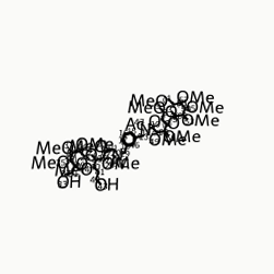 COCC1O[C@@H](O[C@H]2C(COC)OC(N(Cc3cccc(CN(C[C@@H](OC)[C@H](OC)C(OC4OC(CCO)[C@@H](OC)[C@@H](OC)C4OC)C(CCO)OC)C(C)=O)c3)C(C)=O)C(OC)C2OC)C(OC)C(OC)[C@@H]1OC